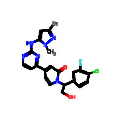 CCc1cc(Nc2nccc(-c3ccn(C(CO)c4ccc(Cl)c(F)c4)c(=O)c3)n2)n(C)n1